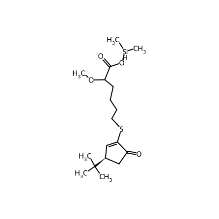 COC(CCCCSC1=C[C@H](C(C)(C)C)CC1=O)C(=O)O[SiH](C)C